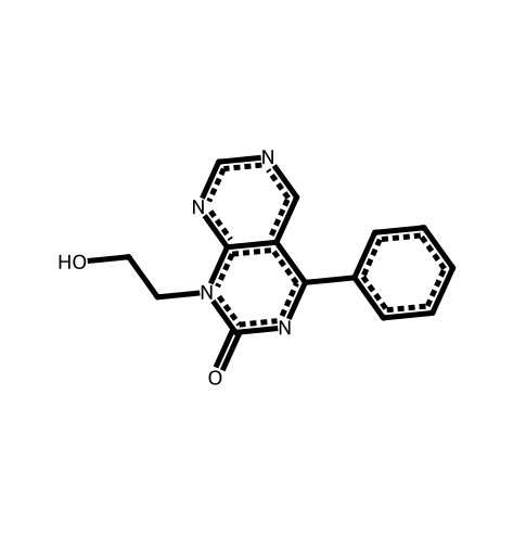 O=c1nc(-c2ccccc2)c2cncnc2n1CCO